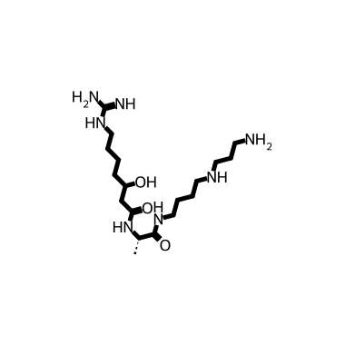 C[C@H](NC(=O)CC(O)CCCCNC(=N)N)C(=O)NCCCCNCCCN